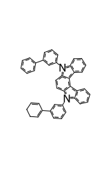 C1=CC(c2cccc(-n3c4ccccc4c4c5c6ccccc6n(-c6cccc(-c7ccccc7)c6)c5ccc43)c2)=CCC1